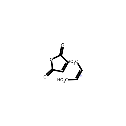 O=C(O)/C=C\C(=O)O.O=C1C=CC(=O)O1